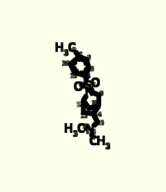 Cc1ccc(S(=O)(=O)N2CC3CC2CC3CN(C)C)cc1